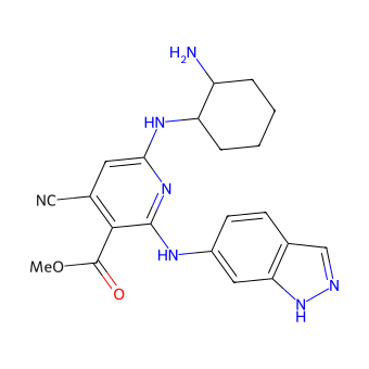 COC(=O)c1c(C#N)cc(NC2CCCCC2N)nc1Nc1ccc2cn[nH]c2c1